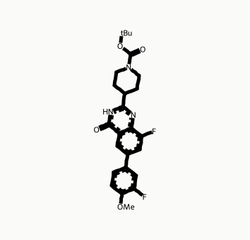 COc1ccc(-c2cc(F)c3nc(C4CCN(C(=O)OC(C)(C)C)CC4)[nH]c(=O)c3c2)cc1F